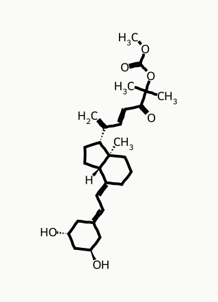 C=C(/C=C/C(=O)C(C)(C)OC(=O)OC)[C@H]1CC[C@H]2/C(=C/C=C3C[C@@H](O)C[C@H](O)C3)CCC[C@]12C